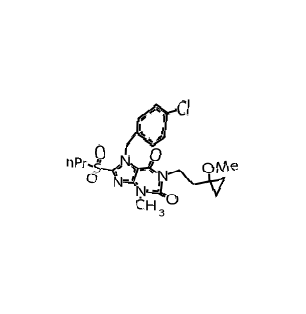 CCCS(=O)(=O)c1nc2c(c(=O)n(CCC3(OC)CC3)c(=O)n2C)n1Cc1ccc(Cl)cc1